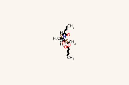 CCCCCC(=O)OC(C)(C)SC(=O)[C@@H]1N2C(=O)[C@@H](CCCC)[C@H]2SC1(C)C